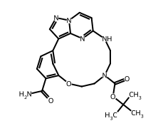 CC(C)(C)OC(=O)N1CCNc2ccn3ncc(c3n2)-c2ccc(C(N)=O)c(c2)OCC1